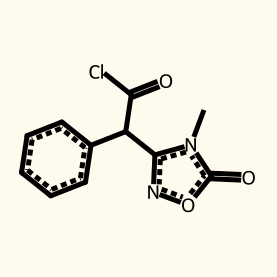 Cn1c(C(C(=O)Cl)c2ccccc2)noc1=O